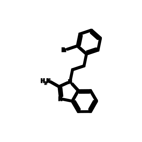 Nc1nc2ccccc2n1CCc1ccccc1Br